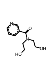 O=C(c1cccnc1)N(CCO)CCO